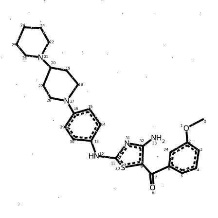 COc1cccc(C(=O)c2sc(Nc3ccc(N4CCC(N5CCCCC5)CC4)cc3)nc2N)c1